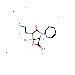 C[C@@]12OC(=O)[C@]1(C[C@@H]1C=CCCC1)NC(=O)[C@@H]2CCCl